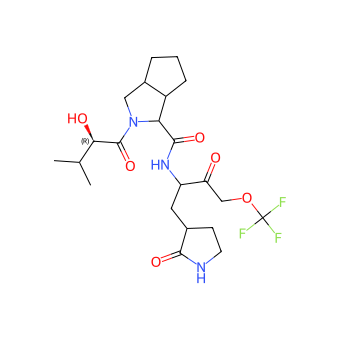 CC(C)[C@@H](O)C(=O)N1CC2CCCC2C1C(=O)NC(CC1CCNC1=O)C(=O)COC(F)(F)F